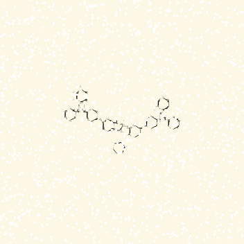 c1ccc(B2c3ccc(-c4ccc(N(c5ccccc5)c5ccccc5)cc4)cc3-c3oc4cc(-c5ccc(N(c6ccccc6)c6ccccc6)cc5)ccc4c32)cc1